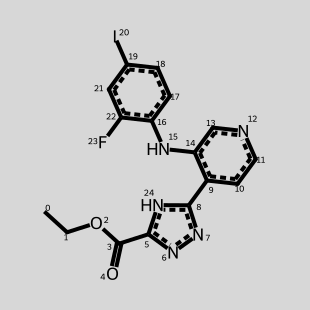 CCOC(=O)c1nnc(-c2ccncc2Nc2ccc(I)cc2F)[nH]1